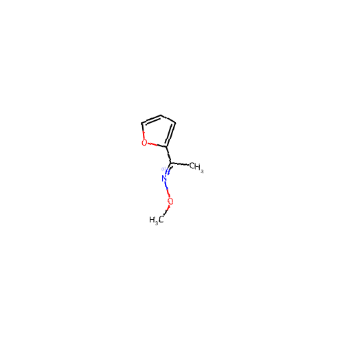 CO/N=C(\C)c1ccco1